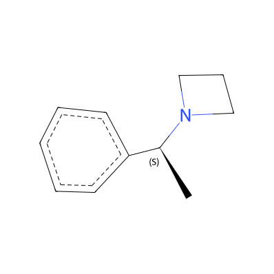 C[C@@H](c1ccccc1)N1CCC1